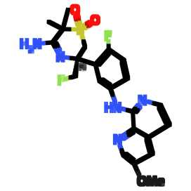 COc1cnc2c(Nc3ccc(F)c([C@@]4(CF)CS(=O)(=O)C(C)(C)C(N)=N4)c3)nccc2c1